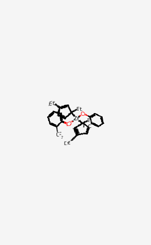 CCC1=C[C](CC)([Zr]([O]c2ccccc2C(F)(F)F)([O]c2ccccc2C(F)(F)F)[C]2(CC)C=CC(CC)=C2)C=C1